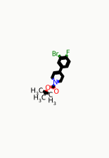 CC(C)(C)OC(=O)N1CC=C(c2ccc(F)c(Br)c2)CC1